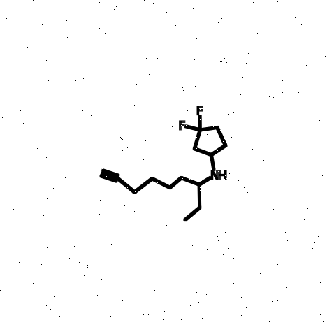 C#CCCCCC(CC)NC1CCC(F)(F)C1